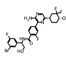 Nc1ncc([C@@H]2CC[C@@H](O)C(F)(F)C2)nc1-c1ccc(C(=O)NC(CO)c2cc(F)cc(Br)c2)c(F)c1